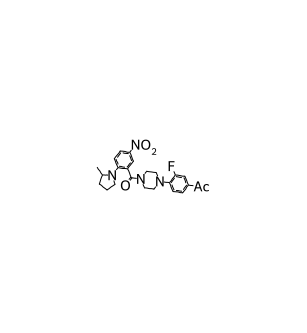 CC(=O)c1ccc(N2CCN(C(=O)c3cc([N+](=O)[O-])ccc3N3CCCC3C)CC2)c(F)c1